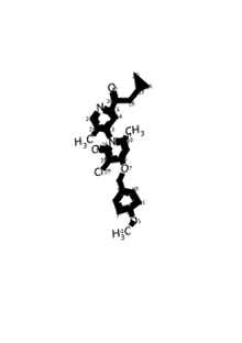 COc1ccc(COc2cc(C)n(-c3cc(C(=O)CC4CC4)ncc3C)c(=O)c2Cl)cc1